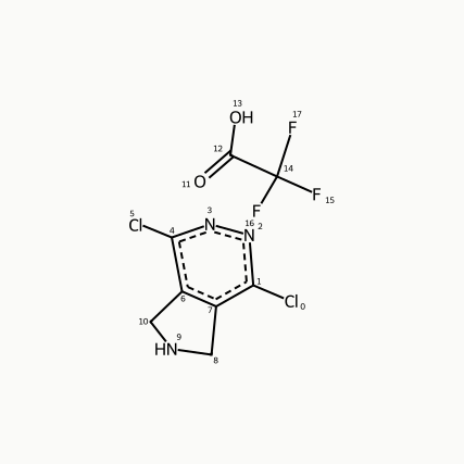 Clc1nnc(Cl)c2c1CNC2.O=C(O)C(F)(F)F